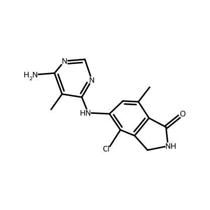 Cc1cc(Nc2ncnc(N)c2C)c(Cl)c2c1C(=O)NC2